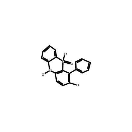 CCc1ccc2c(c1-c1ccccc1)P(=O)(CC)c1ccccc1[S+]2[O-]